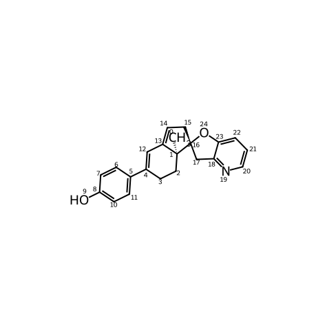 C[C@]12CCC(c3ccc(O)cc3)=CC1=CC[C@@]21Cc2ncccc2O1